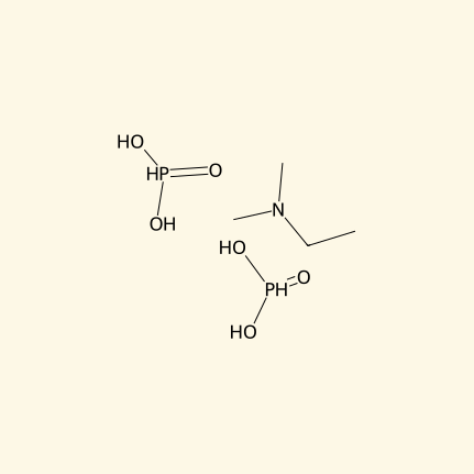 CCN(C)C.O=[PH](O)O.O=[PH](O)O